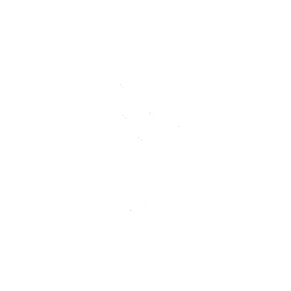 O=C(O)c1ccc(N(C(=O)N2CCNCC2)c2cnccn2)cc1